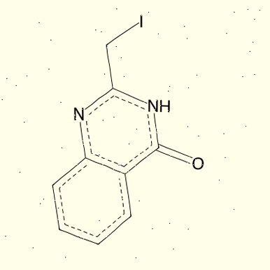 O=c1[nH]c(CI)nc2ccccc12